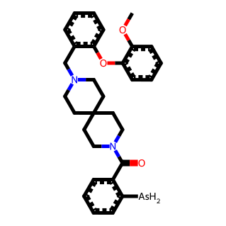 COc1ccccc1Oc1ccccc1CN1CCC2(CC1)CCN(C(=O)c1ccccc1[AsH2])CC2